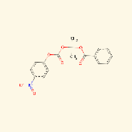 CC(C)(OC(=O)Oc1ccc([N+](=O)[O-])cc1)OC(=O)c1ccccc1